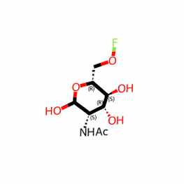 CC(=O)N[C@@H]1C(O)O[C@H](COF)[C@@H](O)[C@@H]1O